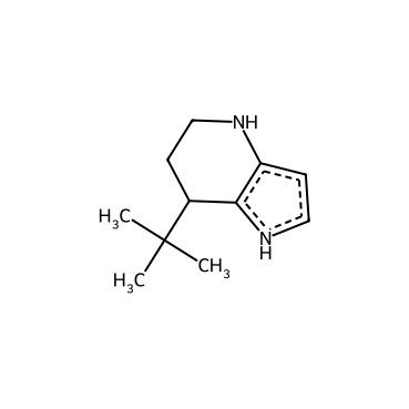 CC(C)(C)C1CCNc2cc[nH]c21